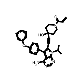 C=CC(=O)N1CCC(O)(C#Cc2c(-c3ccc(Oc4ccccc4)cc3)c3c(N)ncnc3n2C(C)C)CC1